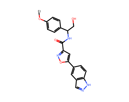 CCOc1ccc(C(CO)NC(=O)c2cc(-c3ccc4[nH]ncc4c3)on2)cc1